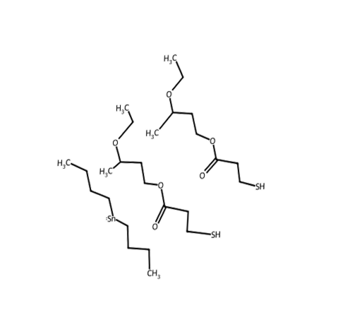 CCC[CH2][Sn][CH2]CCC.CCOC(C)CCOC(=O)CCS.CCOC(C)CCOC(=O)CCS